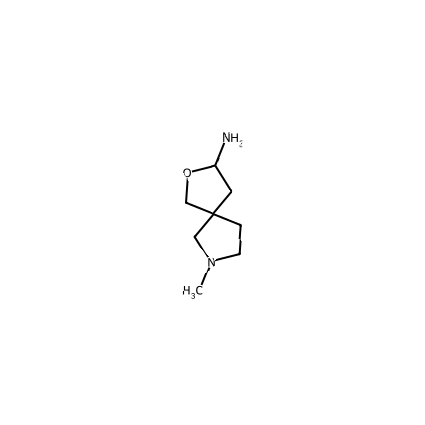 CN1CCC2(COC(N)C2)C1